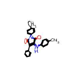 Cc1ccc(NC2=C(c3ccccc3)C(=O)N(c3ccc(C)cc3)C2=O)cc1